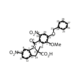 COc1cc(C(=O)N2c3cc([N+](=O)[O-])ccc3CC2(C)C(=O)O)c([N+](=O)[O-])cc1OCc1ccccc1